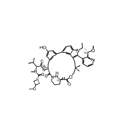 CCn1c(-c2cccnc2[C@H](C)OC)c2c3cc(ccc31)-c1cc(O)cc(c1)C[C@H](NC(=O)C(C(C)C)N(C)C(=O)N1CC(OC)C1)C(=O)N1CCC[C@H](N1)C(=O)OCC(C)(C)C2